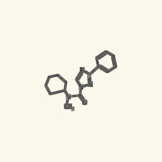 CN(C(=O)n1cnc(-c2ccccc2)n1)C1CCCCC1